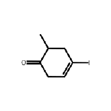 CC1CC(I)=CCC1=O